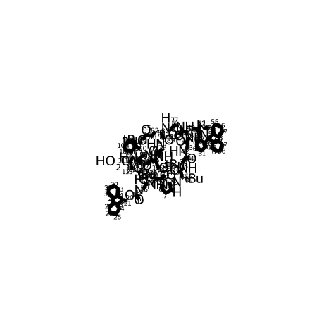 CC[C@H](C)[C@H](NC(=O)[C@@H]1CCCN1C(=O)[C@@H](NC(=O)CNC(=O)OCC1c2ccccc2-c2ccccc21)[C@@H](C)CC)C(=O)NCC(=O)NCC(=O)N[C@@H](Cc1cn(C(c2ccccc2)(c2ccccc2)c2ccccc2)cn1)C(=O)N[C@@H](C)C(=O)N[C@@H](CCC(=O)OC(C)(C)C)C(=O)NCC(=O)N[C@H](C(=O)N[C@@H](Cc1ccccc1)C(=O)N[C@H](C(=O)O)[C@@H](C)OC(C)(C)C)[C@@H](C)OC(C)(C)C